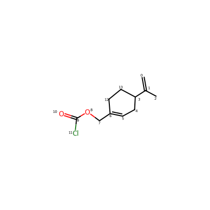 C=C(C)C1CC=C(COC(=O)Cl)CC1